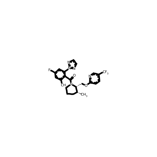 Cc1cc(F)cc(-n2nccn2)c1C(=O)N1CCC[C@@H](C)[C@H]1COc1ccc(C(F)(F)F)cn1